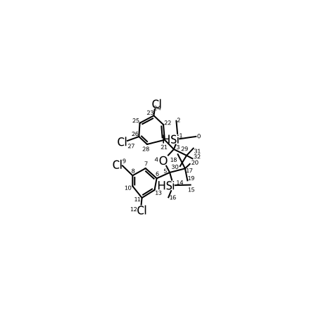 C[SiH](C)C(OC(c1cc(Cl)cc(Cl)c1)([SiH](C)C)C(C)(C)C)(c1cc(Cl)cc(Cl)c1)C(C)(C)C